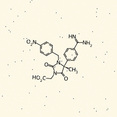 C[C@@]1(c2ccc(C(=N)N)cc2)C(=O)N(CC(=O)O)C(=O)N1Cc1ccc([N+](=O)[O-])cc1